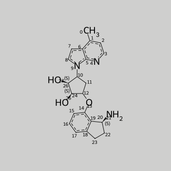 Cc1ccnc2c1ccn2C1CC(Oc2cccc3c2[C@@H](N)CC3)[C@@H](O)[C@H]1O